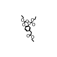 CCOC(=O)Cc1ccc(OC(=O)OCC)c(OC(=O)OCC)c1